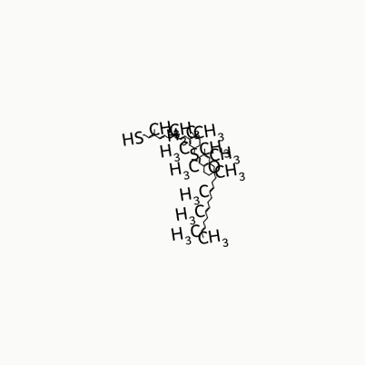 CC(C)=CCC/C(C)=C/CC/C(C)=C/CCC1(C)CCc2c(C)c(SC3CCC(C)(C)C(/C=C/C(C)=C/C=C/C(C)=C/CS)=C3C)c(C)c(C)c2O1